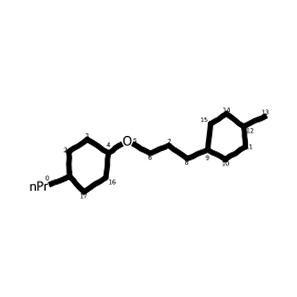 CCCC1CCC(OCCCC2CCC(C)CC2)CC1